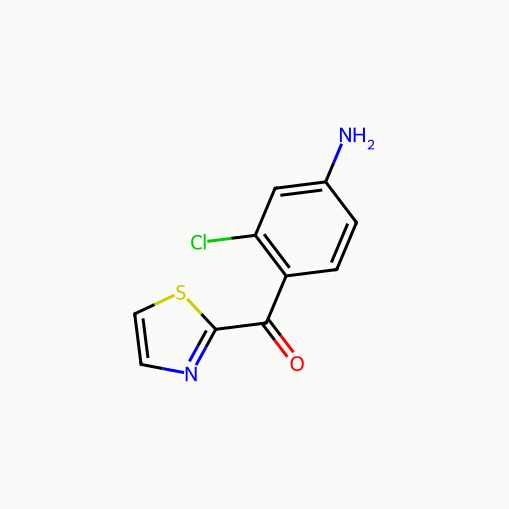 Nc1ccc(C(=O)c2nccs2)c(Cl)c1